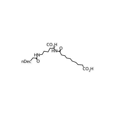 CCCCCCCCCCCC(=O)NCCCCC(NC(=O)CCCCCCCCC(=O)O)C(=O)O